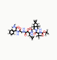 CN(C)C(=O)[C@@H](NC(=O)CNC(=O)C(=O)C(CC1CC1)NC(=O)[C@@H]1[C@H]2CC3(CC3)C[C@H]2CN1C(=O)[C@@H](NC(=O)OC(C)(C)C)C(C)(C)C)c1ccccc1